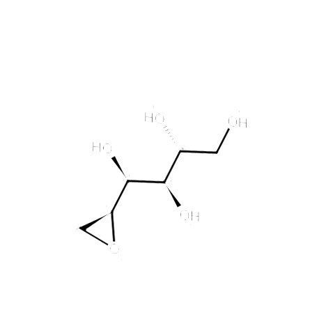 OC[C@@H](O)[C@@H](O)[C@H](O)[C@@H]1CO1